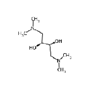 CN(C)C[C@H](O)[C@@H](O)CN(C)C